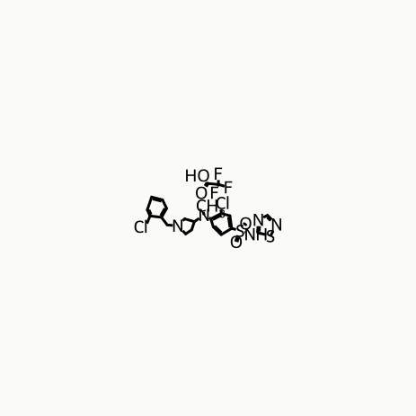 CN(c1ccc(S(=O)(=O)Nc2ncns2)cc1Cl)C1CCN(Cc2ccccc2Cl)C1.O=C(O)C(F)(F)F